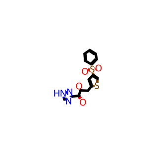 O=C(Cc1cc(S(=O)(=O)c2ccccc2)cs1)C(=O)c1nc[nH]n1